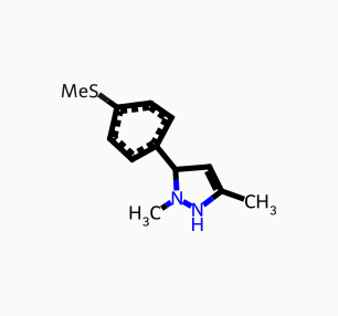 CSc1ccc(C2C=C(C)NN2C)cc1